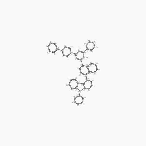 c1ccc(-c2ccc(-c3cc(-c4ccc(-c5cccc6c5-c5ccccc5C6c5ccccc5)c5ccccc45)nc(-c4ccccc4)n3)cc2)cc1